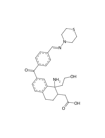 NC1(CCO)c2cc(C(=O)c3ccc(C=NN4CCSCC4)cc3)ccc2CCC1CC(=O)O